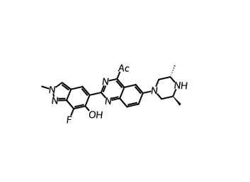 CC(=O)c1nc(-c2cc3cn(C)nc3c(F)c2O)nc2ccc(N3C[C@H](C)N[C@@H](C)C3)cc12